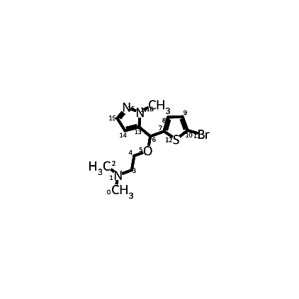 CN(C)CCOC(c1ccc(Br)s1)c1ccnn1C